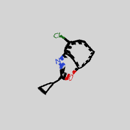 Clc1cccc2oc(C3CC3)nc12